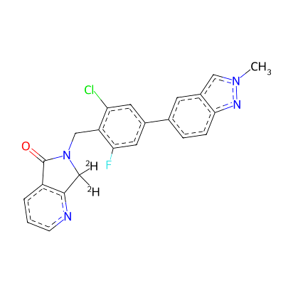 [2H]C1([2H])c2ncccc2C(=O)N1Cc1c(F)cc(-c2ccc3nn(C)cc3c2)cc1Cl